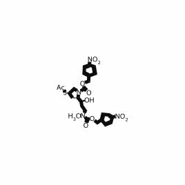 CC(=O)S[C@H]1C[C@@H]([C@@H](O)CCN(C)C(=O)OCc2ccc([N+](=O)[O-])cc2)N(C(=O)OCc2ccc([N+](=O)[O-])cc2)C1